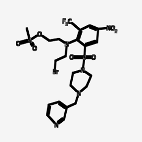 CS(=O)(=O)OCCN(CCBr)c1c(C(F)(F)F)cc([N+](=O)[O-])cc1S(=O)(=O)N1CCN(Cc2cccnc2)CC1